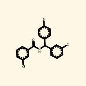 O=C(NC(c1cccc(Cl)c1)c1ccc(Br)cn1)c1cccc(Cl)c1